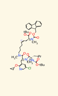 CC(C)C[C@H](NC(=O)OC(C)(C)C)C(=O)N(C)[C@@H](Cc1cc(Cl)cnc1OC1CC1)C(=O)N(C)CCCC/C=C\C[C@@H](C(=O)OC(C)(C)C)N(C)C(=O)OCC1c2ccccc2-c2ccccc21